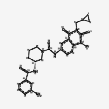 CC(C)n1c(=O)n(CC2CC2)c(=O)c2cc(NC(=O)N3CCC[C@@H](NC(=O)c4cccc(N)c4)C3)ccc21